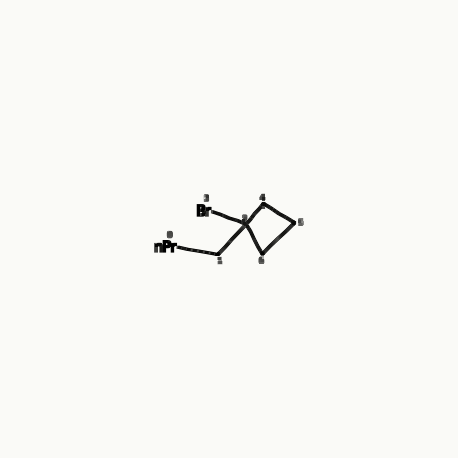 CCCCC1(Br)[CH]CC1